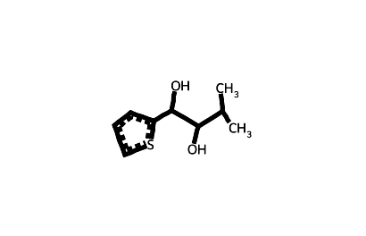 CC(C)C(O)C(O)c1cccs1